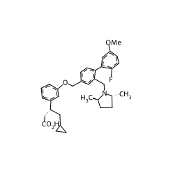 COc1ccc(F)c(-c2ccc(COc3cccc([C@@H](CC(=O)O)CC4CC4)c3)cc2CN2[C@H](C)CC[C@H]2C)c1